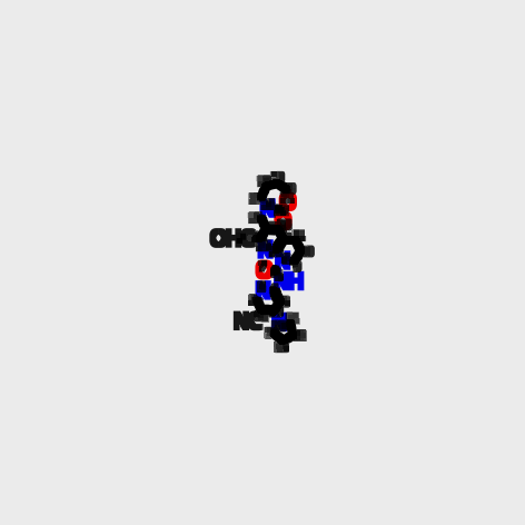 N#Cc1cnc(NC(=O)N2CCCc3cc(CN4CCCCOC4=O)c(C=O)nc32)cc1N1CCCC1